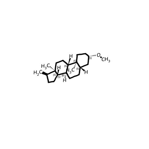 C=C1CC[C@H]2[C@@H]3CC[C@H]4C[C@@H](OC)CC[C@]4(C)[C@H]3CC[C@]12C